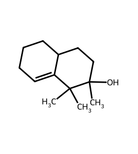 CC1(O)CCC2CCCC=C2C1(C)C